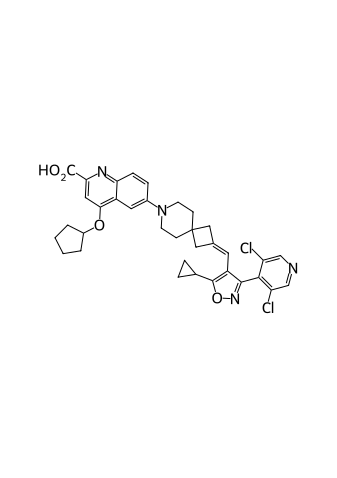 O=C(O)c1cc(OC2CCCC2)c2cc(N3CCC4(CC3)CC(=Cc3c(-c5c(Cl)cncc5Cl)noc3C3CC3)C4)ccc2n1